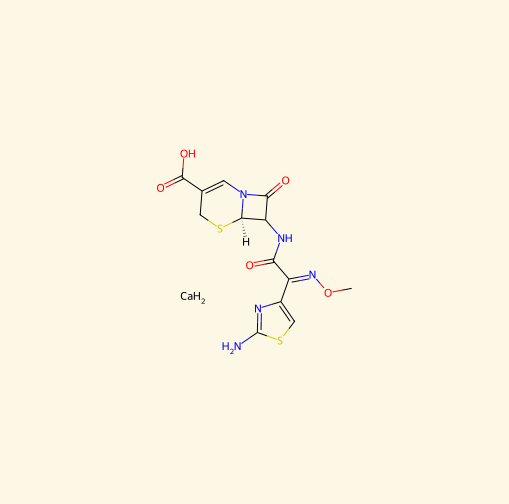 CON=C(C(=O)NC1C(=O)N2C=C(C(=O)O)CS[C@H]12)c1csc(N)n1.[CaH2]